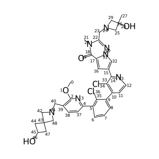 COc1nc(-c2cccc(-c3ccnc(-c4cc5c(=O)n(C)c(CN6CC(C)(O)C6)nn5c4)c3Cl)c2Cl)ccc1CN1CC2(CC(O)C2)C1